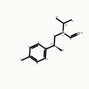 Cc1ccc([C@H](C)CN([C]=O)C(C)C)cc1